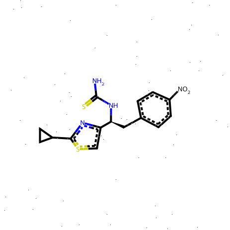 NC(=S)N[C@@H](Cc1ccc([N+](=O)[O-])cc1)c1csc(C2CC2)n1